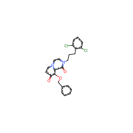 O=c1ccn2ccn(CCCc3c(Cl)cccc3Cl)c(=O)c2c1OCc1ccccc1